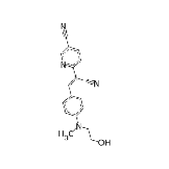 CN(CCO)c1ccc(/C=C(\C#N)c2ccc(C#N)cn2)cc1